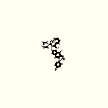 C[C@H]1C2=CNN(c3ccc(F)cc3)C2=CC2=C1[C@@H](CC(NC(=O)N1CCOCC1)c1ccccn1)CC2